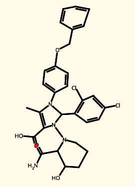 CC1=C(C(=O)O)N(N2CCCC(O)C2C(N)=O)C(c2ccc(Cl)cc2Cl)N1c1ccc(OCc2ccccc2)cc1